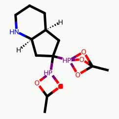 CC12O[PH](C3([PH]45OC(C)(O4)O5)C[C@@H]4CCCN[C@@H]4C3)(O1)O2